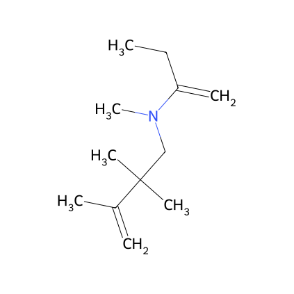 C=C(CC)N(C)CC(C)(C)C(=C)C